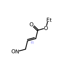 CCOC(=O)/C=C/CN=O